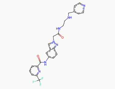 O=C(Cn1cc2cc(NC(=O)c3cccc(C(F)(F)F)n3)ccc2n1)NCCNCc1ccncc1